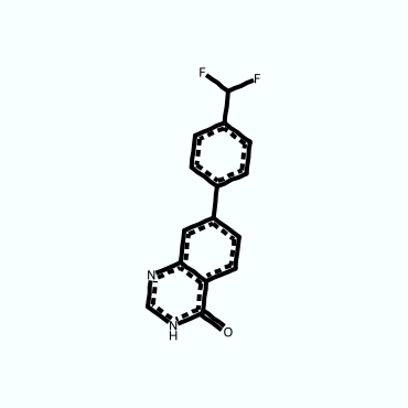 O=c1[nH]cnc2cc(-c3ccc(C(F)F)cc3)ccc12